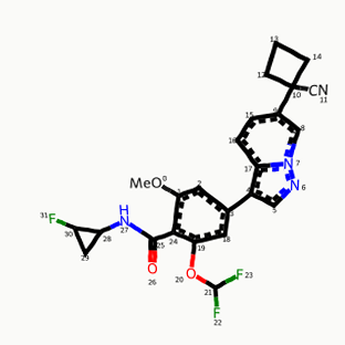 COc1cc(-c2cnn3cc(C4(C#N)CCC4)ccc23)cc(OC(F)F)c1C(=O)NC1CC1F